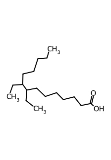 CCCCCC(CC)C(CC)CCCCCCC(=O)O